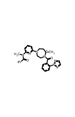 CC(C)C(=O)N(C)c1cccc(N2CC[C@@H](C)N(C(=O)c3ccccc3-n3nccn3)CC2)n1